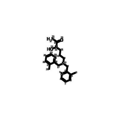 Cc1cccnc1CN(CCCN(O)C(N)=O)Cc1ncccc1C